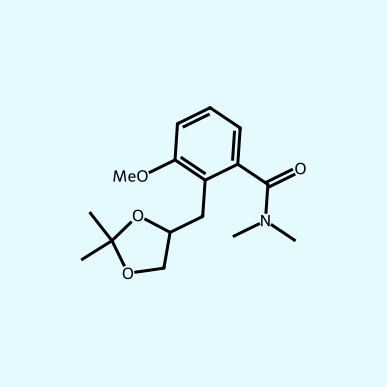 COc1cccc(C(=O)N(C)C)c1CC1COC(C)(C)O1